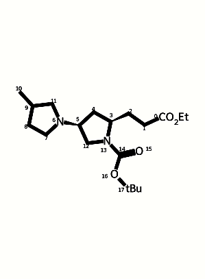 CCOC(=O)CC[C@@H]1C[C@H](N2CCC(C)C2)CN1C(=O)OC(C)(C)C